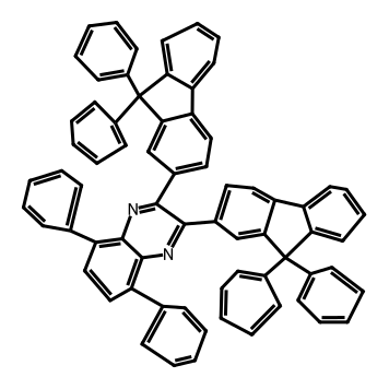 c1ccc(-c2ccc(-c3ccccc3)c3nc(-c4ccc5c(c4)C(c4ccccc4)(c4ccccc4)c4ccccc4-5)c(-c4ccc5c(c4)C(c4ccccc4)(c4ccccc4)c4ccccc4-5)nc23)cc1